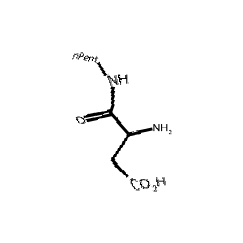 CCCCCNC(=O)C(N)CC(=O)O